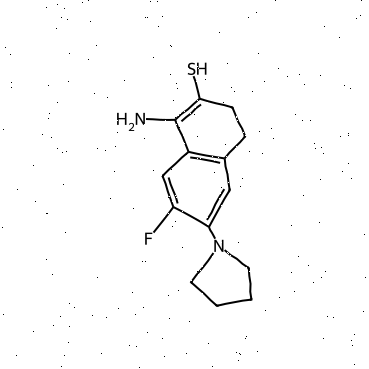 NC1=C(S)CCc2cc(N3CCCC3)c(F)cc21